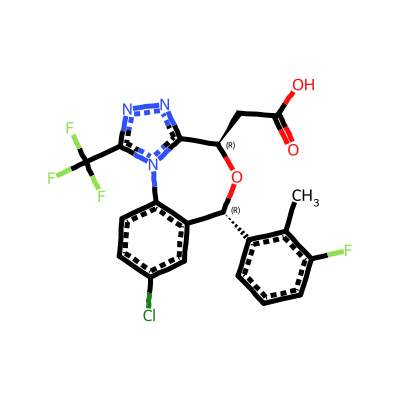 Cc1c(F)cccc1[C@H]1O[C@H](CC(=O)O)c2nnc(C(F)(F)F)n2-c2ccc(Cl)cc21